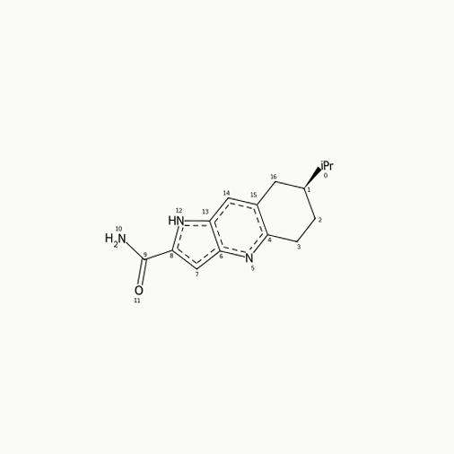 CC(C)[C@H]1CCc2nc3cc(C(N)=O)[nH]c3cc2C1